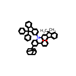 CC1(C)c2ccccc2-c2ccc(N(c3ccc4c(c3)C(c3ccccc3)(c3ccccc3)c3ccccc3-4)c3ccc(C45CC6CC(CC(C6)C4)C5)cc3-c3ccccc3)cc21